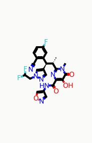 C[C@H](c1nc(C(=O)Nc2cnoc2)c(O)c(=O)n1C)[C@@H](c1cnn(CC(F)F)c1)c1cc(F)ccc1C#N